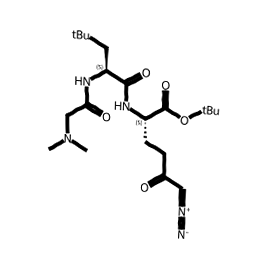 CN(C)CC(=O)N[C@@H](CC(C)(C)C)C(=O)N[C@@H](CCC(=O)C=[N+]=[N-])C(=O)OC(C)(C)C